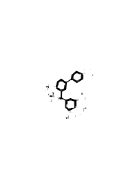 COc1ccc(-c2ccc([N+](=O)[O-])c(C(=O)c3cc(OC)c(OC)c(OC)c3)c2)cc1